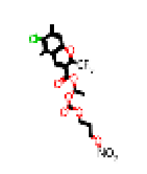 Cc1cc2c(c(C)c1Cl)C=C(C(=O)OC(C)OC(=O)OCCCO[N+](=O)[O-])C(C(F)(F)F)O2